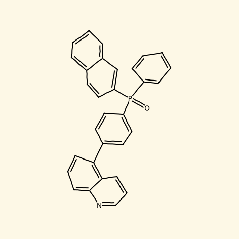 O=P(c1ccccc1)(c1ccc(-c2cccc3ncccc23)cc1)c1ccc2ccccc2c1